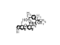 CC(C(=O)O)c1cccc(C(c2cnc(-c3cc(Oc4c(F)cc5[nH]ccc5c4F)ccc3F)[nH]2)C(C)(C)C)c1